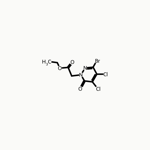 CCOC(=O)Cn1nc(Br)c(Cl)c(Cl)c1=O